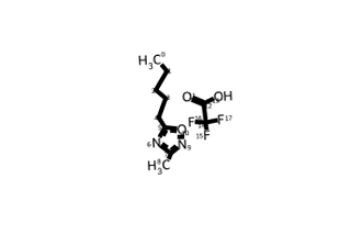 CCCCCc1nc(C)no1.O=C(O)C(F)(F)F